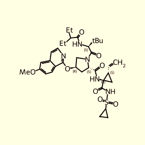 C=C[C@@H]1C[C@]1(NC(=O)[C@@H]1C[C@@H](Oc2nccc3cc(OC)ccc23)CN1C(=O)[C@@H](NC(=O)C(CC)CC)C(C)(C)C)C(=O)NS(=O)(=O)C1CC1